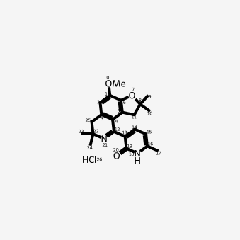 COc1cc2c(c3c1OC(C)(C)C3)C(c1ccc(C)[nH]c1=O)=NC(C)(C)C2.Cl